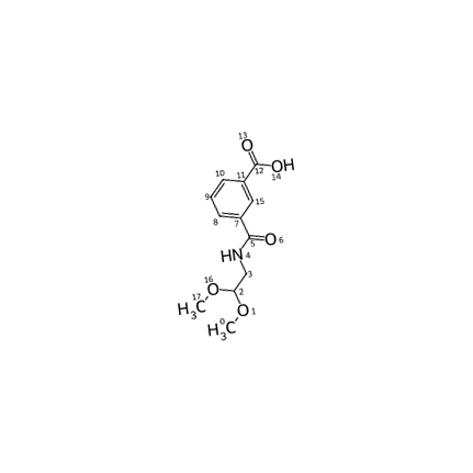 COC(CNC(=O)c1cccc(C(=O)O)c1)OC